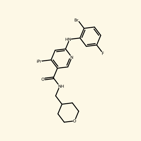 CC(C)c1cc(Nc2cc(F)ccc2Br)ncc1C(=O)NCC1CCOCC1